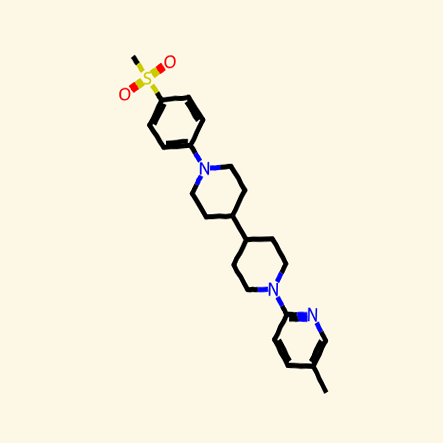 Cc1ccc(N2CCC(C3CCN(c4ccc(S(C)(=O)=O)cc4)CC3)CC2)nc1